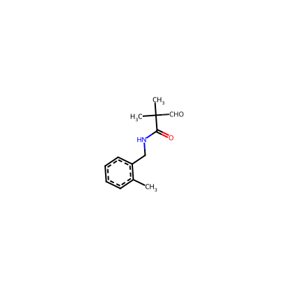 Cc1ccccc1CNC(=O)C(C)(C)C=O